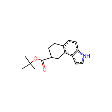 CC(C)(C)OC(=O)C1CCc2ccc3[nH]ccc3c2C1